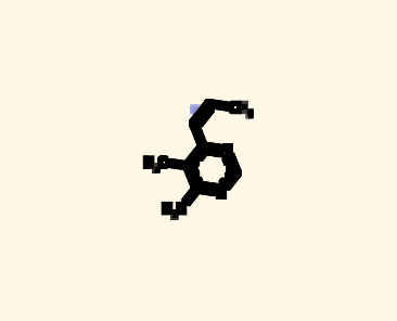 C/C=C\c1ncnc(N)c1C